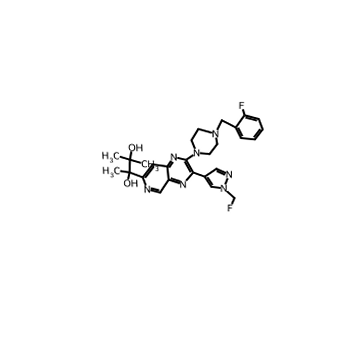 CC(C)(O)C(C)(O)c1cc2nc(N3CCN(Cc4ccccc4F)CC3)c(-c3cnn(CF)c3)nc2cn1